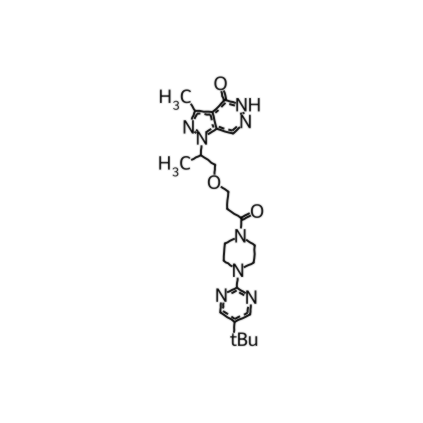 Cc1nn(C(C)COCCC(=O)N2CCN(c3ncc(C(C)(C)C)cn3)CC2)c2cn[nH]c(=O)c12